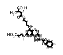 CC(/N=N\c1c(NCCCOC(=O)CC(C)C(=O)O)nc(NCCC(=O)O)nc1NC(C)(C)C)=N\N(c1nc2ccccc2o1)C(C)C